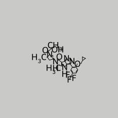 Cc1[nH]c2c(-c3cc(C(F)(F)F)ccc3OCC3CC3)ncnc2c1C(=O)N[C@@H]1C[C@@H](C)N(C(=O)[C@H](C)O)C1